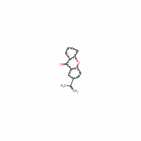 C=C(C)c1ccc2oc3ccccc3c(=O)c2c1